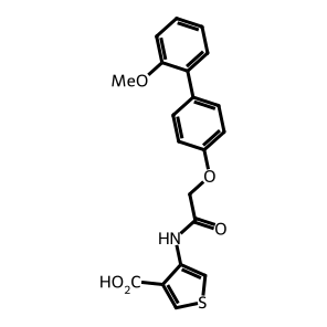 COc1ccccc1-c1ccc(OCC(=O)Nc2cscc2C(=O)O)cc1